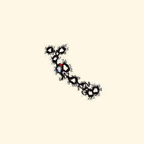 C=C(/C=C\c1c(C)n(-c2ccc(-c3cnc4c(n3)oc3ccc5ccccc5c34)cc2)c2ccccc12)c1ccc2c(c1)c1ccccc1n2-c1ccccc1